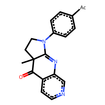 CC(=O)c1ccc(N2CCC3(C)C(=O)c4ccncc4N=C23)cc1